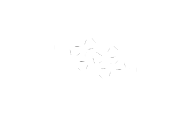 Cc1ccc([Si](c2ccccc2)(c2ccccc2)c2ccc([Si](c3ccccc3)(c3ccccc3)c3ccc(C)cc3)cc2)cc1